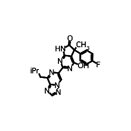 CC(C)Cc1nc(-c2nc(O)c3c(n2)NC(=O)C3(C)c2ccc(F)cc2)cn2ncnc12